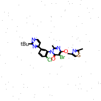 Cc1nc(COc2nc(C)n(-c3cc(-c4ccnc(C(C)(C)C)n4)ccc3Cl)c(=O)c2Br)cs1